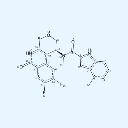 Cc1cccc2[nH]c(C(=O)N(C)[C@@H]3COCc4[nH]c(=O)c5cc(F)c(F)cc5c43)cc12